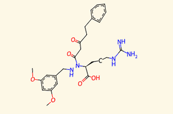 COc1cc(CNN(C(=O)CC(=O)CCc2ccccc2)[C@@H](CCCNC(=N)N)C(=O)O)cc(OC)c1